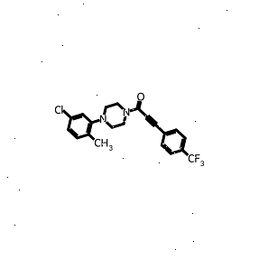 Cc1ccc(Cl)cc1N1CCN(C(=O)C#Cc2ccc(C(F)(F)F)cc2)CC1